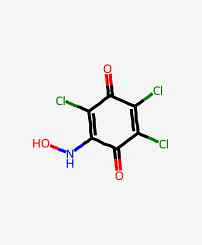 O=C1C(Cl)=C(Cl)C(=O)C(NO)=C1Cl